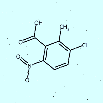 Cc1c(Cl)ccc([N+](=O)[O-])c1C(=O)O